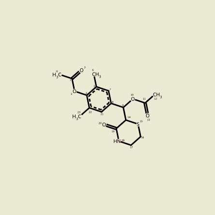 CC(=O)Oc1c(C)cc(C(OC(C)=O)C2SCCNC2=O)cc1C